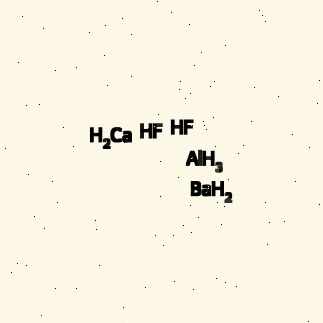 F.F.[AlH3].[BaH2].[CaH2]